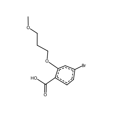 COCCCOc1cc(Br)ccc1C(=O)O